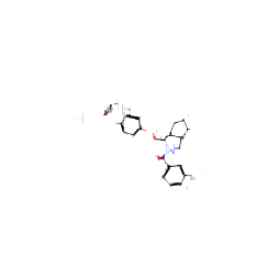 CC(C)(C)Oc1ccc(OCC2C3CCCC3CN2C(=O)c2cccc(Cl)c2)cc1